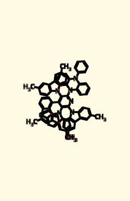 Cc1ccc2c(c1)c1cc(C)ccc1n2-c1nc(N2c3ccccc3N(c3ccccc3)c3ccccc32)c(-n2c3ccc(C)cc3c3cc(C)ccc32)c(-c2cccc3oc4ccccc4c23)c1-n1c2ccc(C)cc2c2cc(C)ccc21